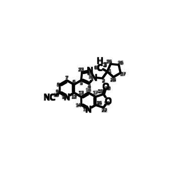 CC1(Cn2cc(-c3ccc(C#N)nc3-c3cnc4c(c3)C(=O)OC4)cn2)CCCC1